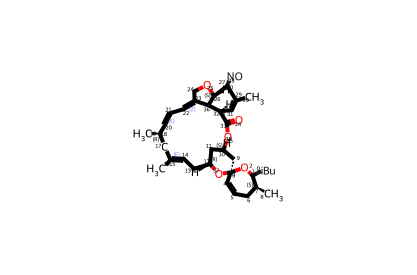 CCC(C)C1O[C@]2(C=CC[C@@H]1C)C[C@@H]1C[C@@H](C/C=C(\C)C[C@@H](C)/C=C/C=C3\CO[C@@H]4C(N=O)C(C)=C[C@@H](C(=O)O1)C34)O2